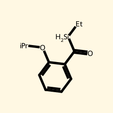 CC[SiH2]C(=O)c1ccccc1OC(C)C